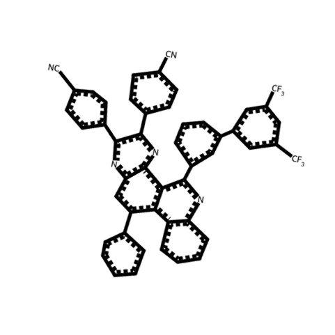 N#Cc1ccc(-c2nc3cc(-c4ccccc4)c4c5ccccc5nc(-c5cccc(-c6cc(C(F)(F)F)cc(C(F)(F)F)c6)c5)c4c3nc2-c2ccc(C#N)cc2)cc1